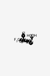 O=c1n(Cc2ncn(-c3cccnc3NCC3CS(O)(O)C3)n2)nc(-c2ccc(Cl)cc2)n1C[C@H](O)C(F)(F)F